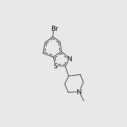 CN1CCC(c2nc3cc(Br)ccc3s2)CC1